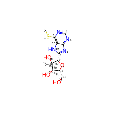 CSc1ncnc2nc([C@@H]3O[C@H](CO)[C@@H](O)[C@@]3(C)O)[nH]c12